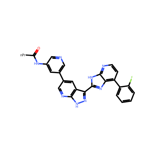 CCCC(=O)Nc1cncc(-c2cnc3[nH]nc(-c4nc5c(-c6ccccc6F)ccnc5[nH]4)c3c2)c1